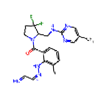 Cc1cccc(C(=O)N2CCC(F)(F)C2CNc2ncc(C(F)(F)F)cn2)c1N/N=C\C=N